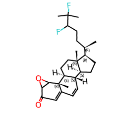 C[C@H](CCC(F)C(C)(C)F)[C@H]1CC[C@H]2[C@@H]3C=CC4=CC(=O)C5OC5[C@]4(C)[C@H]3CC[C@]12C